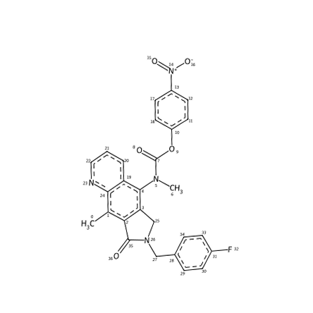 Cc1c2c(c(N(C)C(=O)Oc3ccc([N+](=O)[O-])cc3)c3cccnc13)CN(Cc1ccc(F)cc1)C2=O